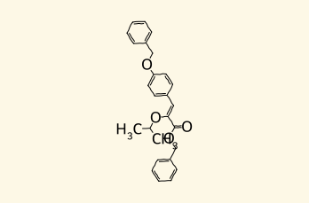 CC(C)OC(=Cc1ccc(OCc2ccccc2)cc1)C(=O)OCc1ccccc1